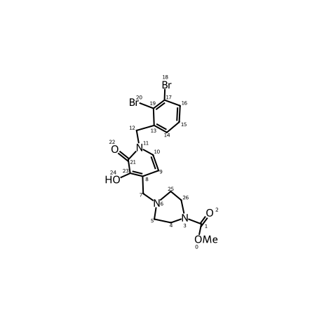 COC(=O)N1CCN(Cc2ccn(Cc3cccc(Br)c3Br)c(=O)c2O)CC1